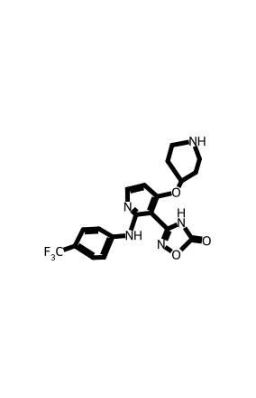 O=c1[nH]c(-c2c(OC3CCNCC3)ccnc2Nc2ccc(C(F)(F)F)cc2)no1